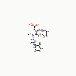 CCN(C(=O)[C@@H](CC(=O)O)Cc1ccccc1)c1nc(-c2ccccc2Cl)cs1